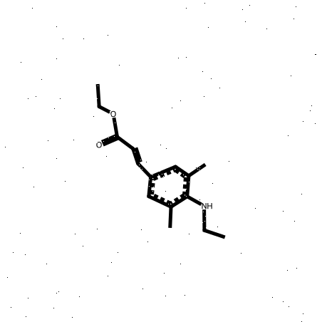 CCNc1c(C)cc(C=CC(=O)OCC)cc1C